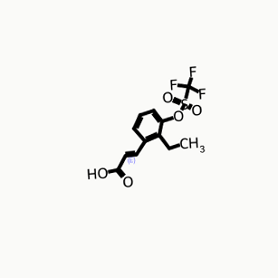 CCc1c(/C=C/C(=O)O)cccc1OS(=O)(=O)C(F)(F)F